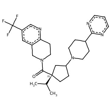 CC(C)[C@]1(C(=O)N2CCc3ncc(C(F)(F)F)cc3C2)CCC(N2CCC(c3ncccn3)CC2)C1